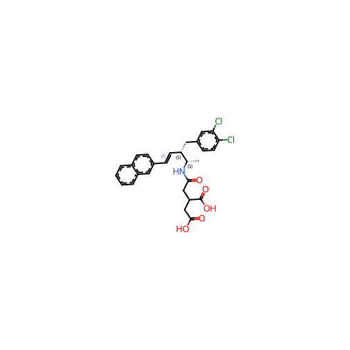 C[C@H](NC(=O)CC(CC(=O)O)C(=O)O)[C@H](/C=C/c1ccc2ccccc2c1)Cc1ccc(Cl)c(Cl)c1